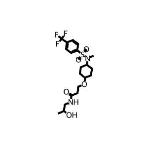 CC(O)CNC(=O)CCOC1CCC(N(C)S(=O)(=O)c2ccc(C(F)(F)F)cc2)CC1